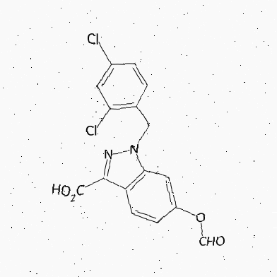 O=COc1ccc2c(C(=O)O)nn(Cc3ccc(Cl)cc3Cl)c2c1